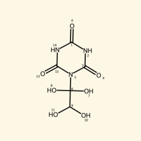 O=c1[nH]c(=O)n(C(O)(O)C(O)O)c(=O)[nH]1